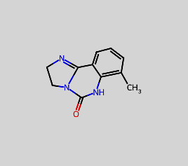 Cc1cccc2c1NC(=O)N1CCN=C21